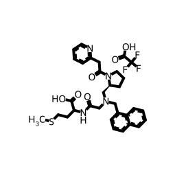 CSCCC(NC(=O)CN(Cc1cccc2ccccc12)C[C@@H]1CCCN1C(=O)Cc1ccccn1)C(=O)O.O=C(O)C(F)(F)F